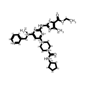 CCOC(=O)c1sc(Nc2nc(N(C)Cc3cccnc3)cc(N3CCN(C(=O)NC4CCCC4)CC3)n2)nc1C